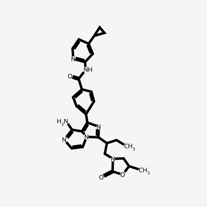 CCC(CN1CC(C)OC1=O)c1nc(-c2ccc(C(=O)Nc3cc(C4CC4)ccn3)cc2)c2c(N)nccn12